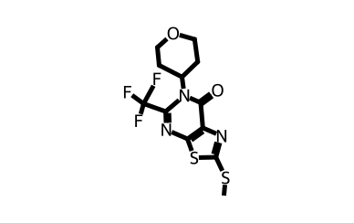 CSc1nc2c(=O)n(C3CCOCC3)c(C(F)(F)F)nc2s1